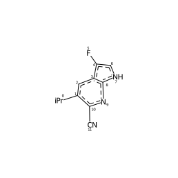 CC(C)c1cc2c(F)c[nH]c2nc1C#N